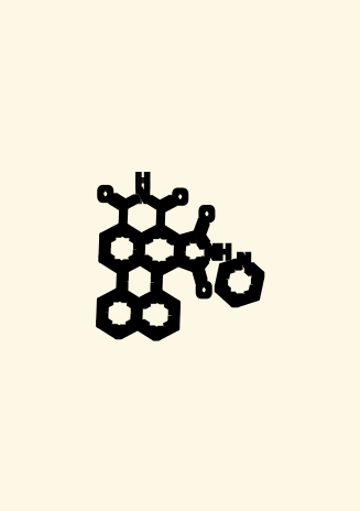 O=C1NC(=O)c2c3c1ccc1c4cccc5cccc(c54)c(c4c(=O)[nH]c(=O)c24)c31.c1ccncc1